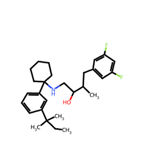 CCC(C)(C)c1cccc(C2(NCC(O)C(C)Cc3cc(F)cc(F)c3)CCCCC2)c1